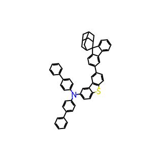 c1ccc(-c2ccc(N(c3ccc(-c4ccccc4)cc3)c3ccc4sc5ccc(-c6ccc7c(c6)-c6ccccc6C76C7CC8CC(C7)CC6C8)cc5c4c3)cc2)cc1